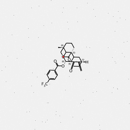 C=C1C(=O)[C@]23CC[C@H]1CC2[C@@]12CCC[C@@](C)(COC1=O)C2C[C@H]3OC(=O)c1ccc(C(F)(F)F)cc1